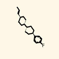 CC=C[C@H]1CC[C@H]([C@H]2CC[C@H](c3ccc(F)cc3)CC2)CC1